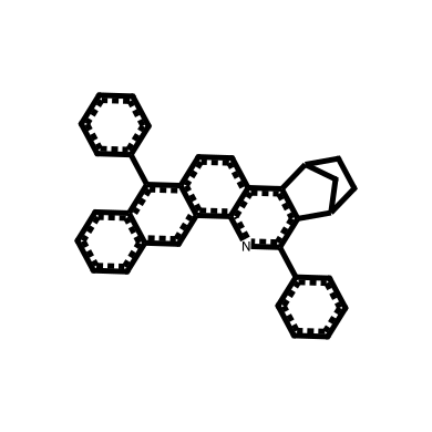 c1ccc(-c2nc3c(ccc4c(-c5ccccc5)c5ccccc5cc43)c3c2C2CCC3C2)cc1